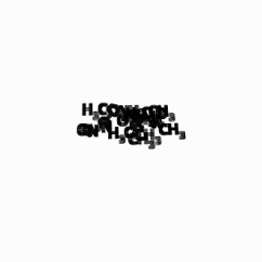 CCN1CCN(C(=O)c2sc(C(C)(C)C)cc2NC(=O)Nc2ccc(C)c(-c3ccc(CN4CCOCC4)nc3)c2)C(C)(C)C1=O